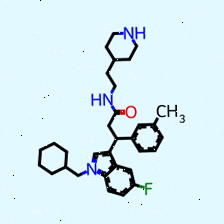 Cc1cccc(C(CC(=O)NCCC2CCNCC2)c2cn(CC3CCCCC3)c3ccc(F)cc23)c1